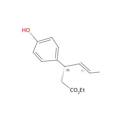 C/C=C/[C@H](CC(=O)OCC)c1ccc(O)cc1